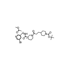 COC(=O)C[C@H](NC(=O)[C@@H]1CCCN(C(=O)CCC2CCN(C(=O)OC(C)(C)C)CC2)C1)c1cncc(Br)c1